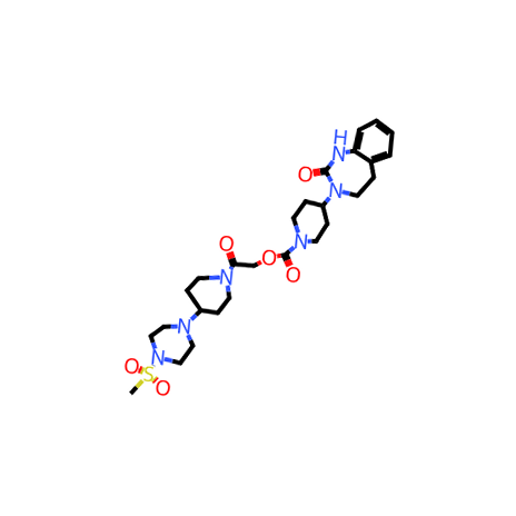 CS(=O)(=O)N1CCN(C2CCN(C(=O)COC(=O)N3CCC(N4CCc5ccccc5NC4=O)CC3)CC2)CC1